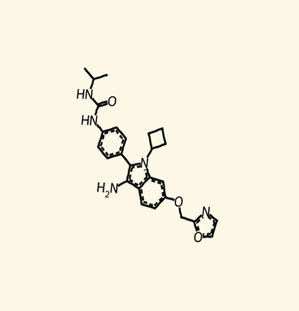 CC(C)NC(=O)Nc1ccc(-c2c(N)c3ccc(OCc4ncco4)cc3n2C2CCC2)cc1